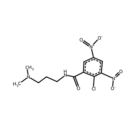 CN(C)CCCNC(=O)c1cc([N+](=O)[O-])cc([N+](=O)[O-])c1Cl